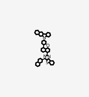 c1ccc2cc(-c3nc(-c4ccc5c6c(cccc46)-c4ccc(-n6c7ccccc7c7cc8ccccc8cc76)cc4O5)nc4c3sc3ccccc34)ccc2c1